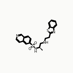 C[C@H](CNCCc1nc2ccccc2s1)NS(=O)(=O)c1ccc2cnccc2c1